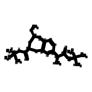 CC[C@@H]1CN(C(=O)OC(C)(C)C)Cc2nc(N(C)C(=O)OC(C)(C)C)ccc2O1